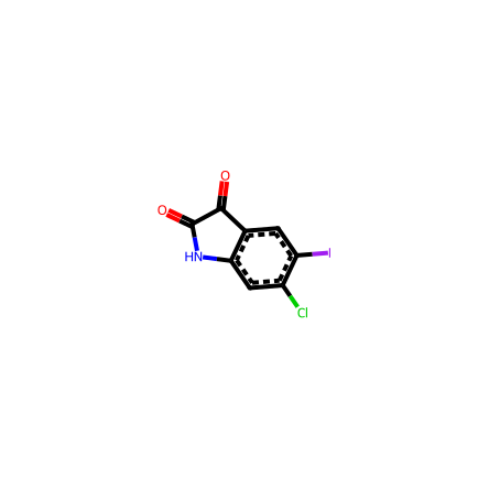 O=C1Nc2cc(Cl)c(I)cc2C1=O